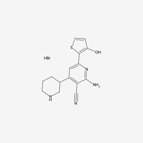 Br.N#Cc1c(C2CCCNC2)cc(-c2sccc2O)nc1N